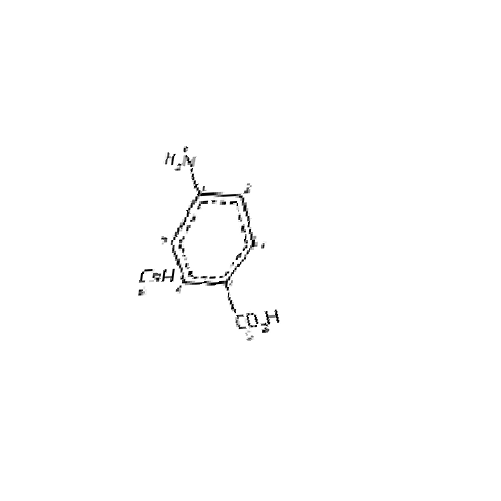 Nc1ccc(C(=O)O)cc1.[CsH]